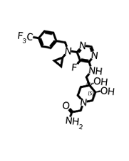 NC(=O)CN1CC[C@@](O)(CNc2ncnc(N(Cc3ccc(C(F)(F)F)cc3)C3CC3)c2F)[C@@H](O)C1